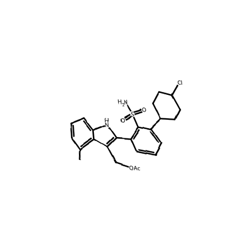 CC(=O)OCc1c(-c2cccc(C3CCC(Cl)CC3)c2S(N)(=O)=O)[nH]c2cccc(C)c12